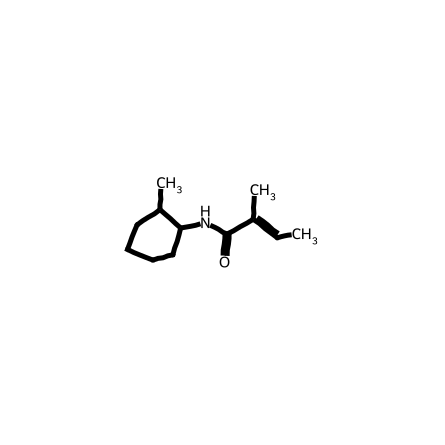 C/C=C(\C)C(=O)NC1CCCCC1C